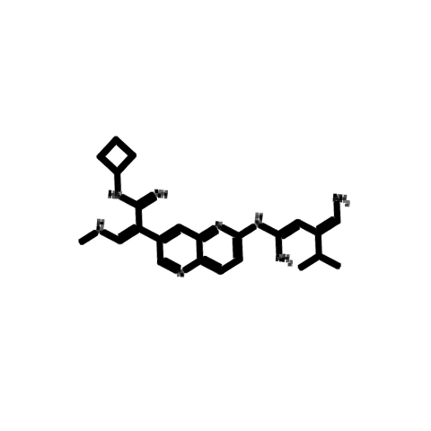 CN/C=C(\C(=N)NC1CCC1)c1cnc2ccc(N/C(N)=C/C(=C\N)C(C)C)nc2c1